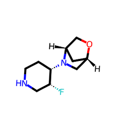 F[C@@H]1CNCC[C@@H]1N1C[C@@H]2C[C@H]1CO2